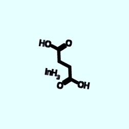 O=C(O)CCC(=O)O.[InH3]